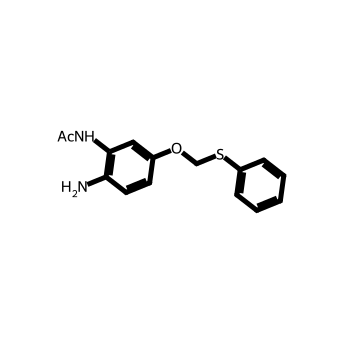 CC(=O)Nc1cc(OCSc2ccccc2)ccc1N